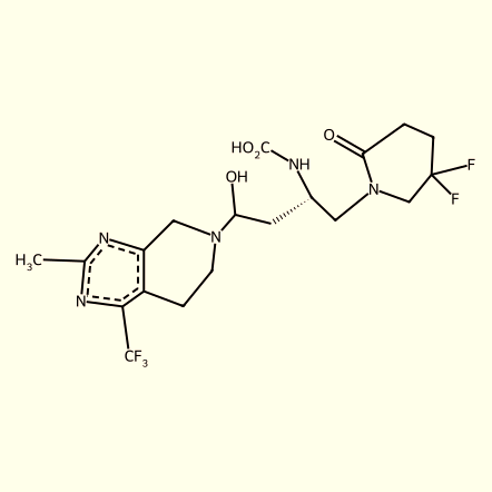 Cc1nc2c(c(C(F)(F)F)n1)CCN(C(O)C[C@@H](CN1CC(F)(F)CCC1=O)NC(=O)O)C2